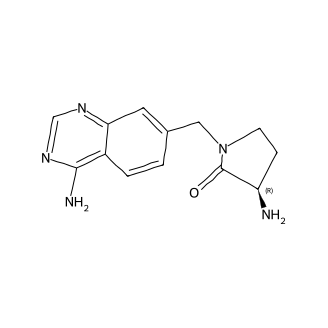 Nc1ncnc2cc(CN3CC[C@@H](N)C3=O)ccc12